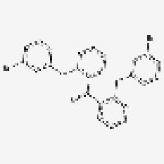 O=C(c1ccccc1Cc1cccc(Br)c1)c1ccccc1Cc1cccc(Br)c1